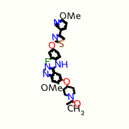 C=CC(=O)N1CCC(Oc2cc3c(Nc4ccc(Oc5nc(-c6ccc(OC)nc6)cs5)cc4F)ncnc3cc2OC)CC1